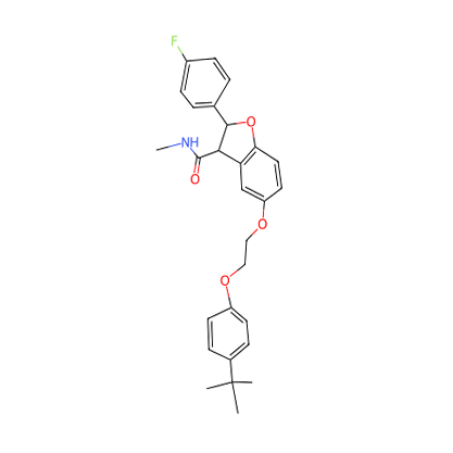 CNC(=O)C1c2cc(OCCOc3ccc(C(C)(C)C)cc3)ccc2OC1c1ccc(F)cc1